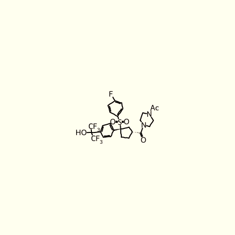 CC(=O)N1CCN(C(=O)[C@@H]2CC[C@](c3ccc(C(O)(C(F)(F)F)C(F)(F)F)cc3)(S(=O)(=O)c3ccc(F)cc3)C2)CC1